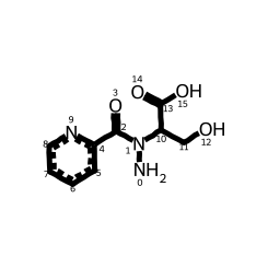 NN(C(=O)c1ccccn1)C(CO)C(=O)O